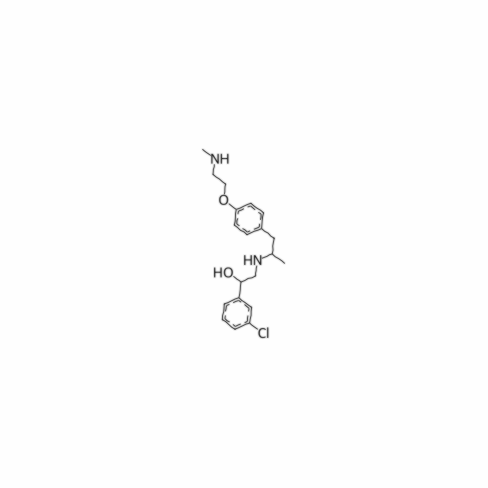 CNCCOc1ccc(CC(C)NCC(O)c2cccc(Cl)c2)cc1